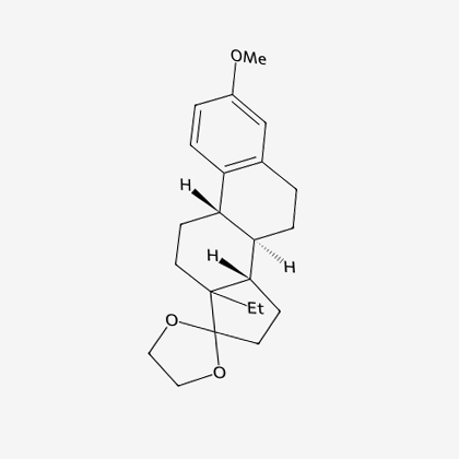 CCC12CC[C@@H]3c4ccc(OC)cc4CC[C@H]3[C@@H]1CCC21OCCO1